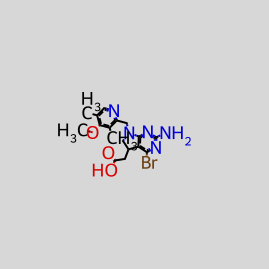 COc1c(C)cnc(CN2CC(CC(=O)O)c3c(Br)nc(N)nc32)c1C